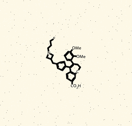 COc1cccc(C2=C(c3ccc(CC4CN(CCCF)C4)cc3)c3ccc(C(=O)O)cc3CCC2)c1OC